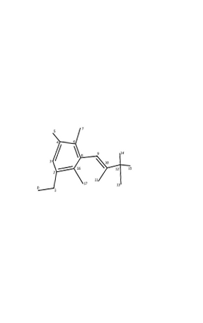 CCc1cc(C)c(C)c(/C=C(\C)C(C)(C)C)c1C